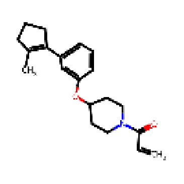 C=CC(=O)N1CCC(Oc2cccc(C3=C(C)CCC3)c2)CC1